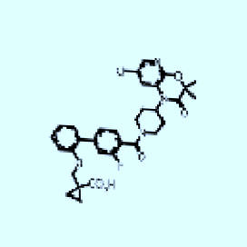 CC1(C)Oc2ncc(Cl)cc2N(C2CCN(C(=O)c3ccc(-c4ccccc4OCC4(C(=O)O)CC4)cc3F)CC2)C1=O